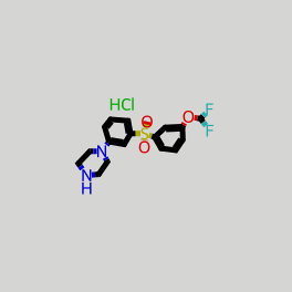 Cl.O=S(=O)(c1cccc(OC(F)F)c1)c1cccc(N2CCNCC2)c1